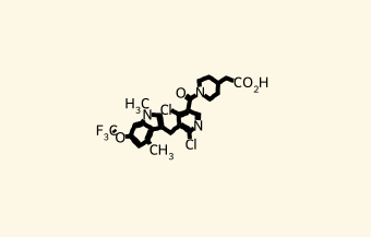 Cc1cc(OC(F)(F)F)cc2c1c(Cc1c(Cl)ncc(C(=O)N3CCC(CC(=O)O)CC3)c1Cl)cn2C